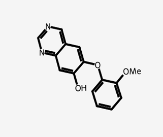 COc1ccccc1Oc1cc2cncnc2cc1O